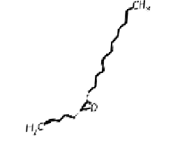 C=CCCC[C@H]1O[C@H]1CCCCCCCCCCCC